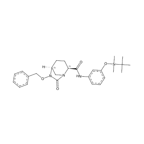 CC(C)(C)[Si](C)(C)Oc1cccc(NC(=O)[C@@H]2CC[C@H]3CN2C(=O)N3OCc2ccccc2)c1